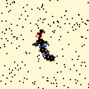 COC(=O)COc1cc(C)c(-c2nc3ccc(C(=O)Nc4ccc5ccccc5n4)cc3[nH]2)c(C)c1